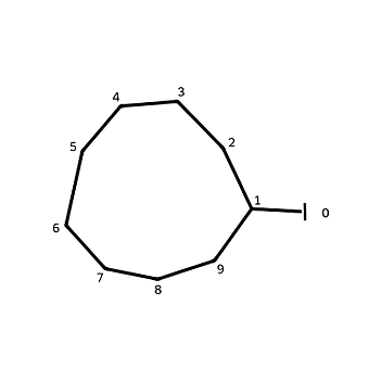 IC1CCCCCCCC1